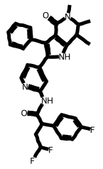 CC1c2[nH]c(-c3ccnc(NC(=O)C(CC(F)F)c4ccc(F)cc4)c3)c(-c3ccccc3)c2C(=O)N(C)C1C